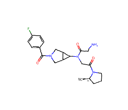 N#C[C@@H]1CCCN1C(=O)CN(C(=O)CN)C1C2CN(C(=O)c3ccc(F)cc3)CC21